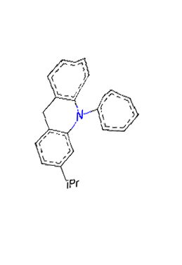 CC(C)c1ccc2c(c1)N(c1ccccc1)c1ccccc1C2